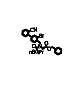 CCCCC(=O)N(Cc1ccc(-c2ccccc2C#N)cc1Br)[C@H](C(=O)OCc1ccccc1)C(C)C